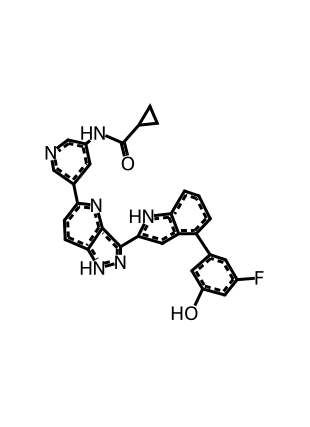 O=C(Nc1cncc(-c2ccc3[nH]nc(-c4cc5c(-c6cc(O)cc(F)c6)cccc5[nH]4)c3n2)c1)C1CC1